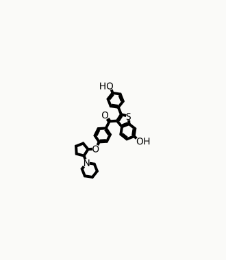 O=C(c1ccc(OC2CCCC2N2CCCCC2)cc1)c1c(-c2ccc(O)cc2)sc2cc(O)ccc12